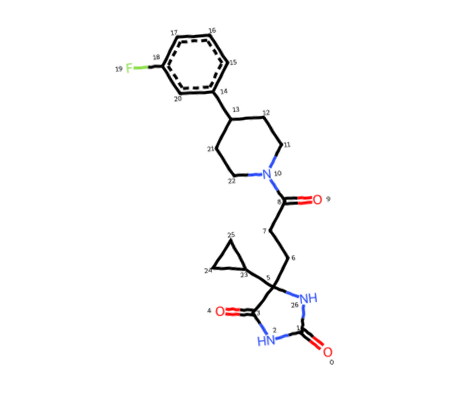 O=C1NC(=O)C(CCC(=O)N2CCC(c3cccc(F)c3)CC2)(C2CC2)N1